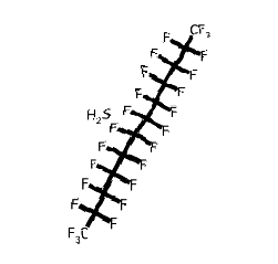 FC(F)(F)C(F)(F)C(F)(F)C(F)(F)C(F)(F)C(F)(F)C(F)(F)C(F)(F)C(F)(F)C(F)(F)C(F)(F)C(F)(F)F.S